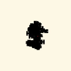 CC[Si](CC)(CC)OC1C[C@H]2OC[C@@]2(OC(C)=O)[C@H]2[C@H](O)[C@]3(O)C[C@H](OC(=O)[C@H](O)[C@@H](NC(=O)c4ccccc4)c4ccccc4)C(C)=C([C@H](OC(C)=O)[C@H](O)[C@]12C)C3(C)C